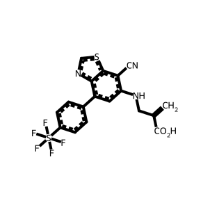 C=C(CNc1cc(-c2ccc(S(F)(F)(F)(F)F)cc2)c2ncsc2c1C#N)C(=O)O